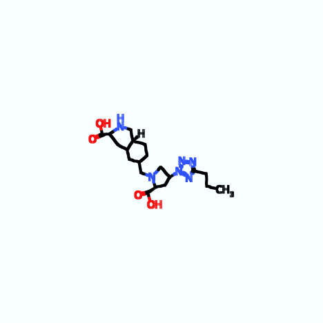 CCCc1nnn([C@H]2C[C@@H](C(=O)O)N(CC3CC[C@H]4CNC(C(=O)O)CC4C3)C2)n1